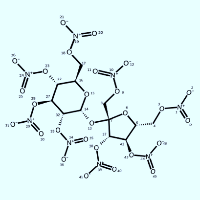 O=[N+]([O-])OC[C@H]1O[C@@](CO[N+](=O)[O-])(O[C@H]2O[C@H](CO[N+](=O)[O-])[C@@H](O[N+](=O)[O-])[C@H](O[N+](=O)[O-])[C@H]2O[N+](=O)[O-])[C@@H](O[N+](=O)[O-])[C@@H]1O[N+](=O)[O-]